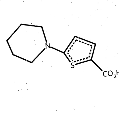 O=C(O)c1ccc(N2CCCCC2)s1